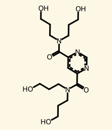 O=C(c1cc(C(=O)N(CCCO)CCCO)ncn1)N(CCCO)CCCO